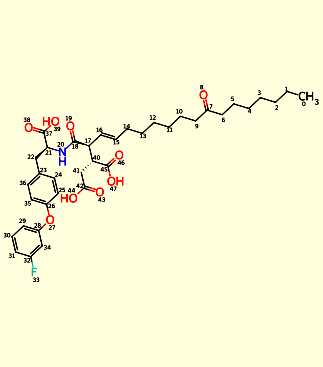 CCCCCCCC(=O)CCCCCC/C=C/[C@H](C(=O)N[C@@H](Cc1ccc(Oc2cccc(F)c2)cc1)C(=O)O)[C@@H](CC(=O)O)C(=O)O